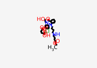 CCOC(=O)/C=C/CNCCCCN1c2ccccc2C(=O)N(CCO)c2ccc(Cl)cc21.O=C(O)/C=C\C(=O)O